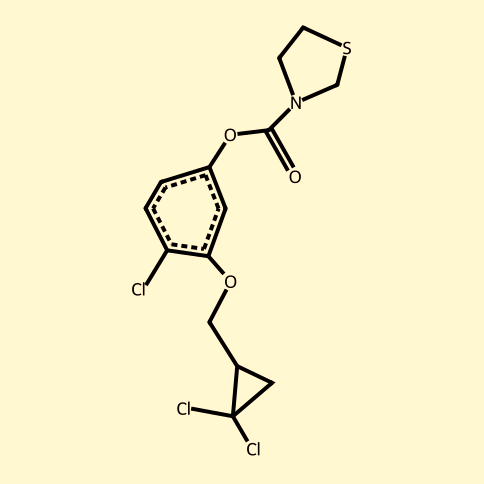 O=C(Oc1ccc(Cl)c(OCC2CC2(Cl)Cl)c1)N1CCSC1